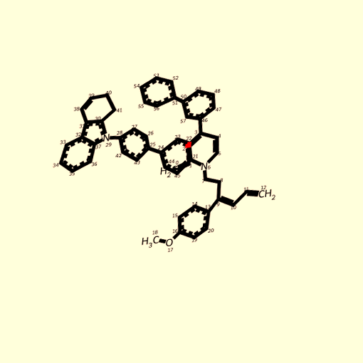 C=C/C=C(\C=C/N(CC/C(=C\C=C)c1ccc(OC)cc1)c1ccc(-c2ccc(-n3c4c(c5ccccc53)C=CCC4)cc2)cc1)c1cccc(-c2ccccc2)c1